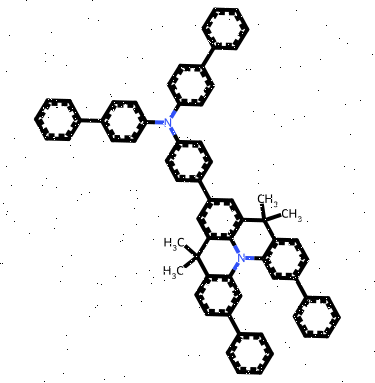 CC1(C)c2ccc(-c3ccccc3)cc2N2c3cc(-c4ccccc4)ccc3C(C)(C)c3cc(-c4ccc(N(c5ccc(-c6ccccc6)cc5)c5ccc(-c6ccccc6)cc5)cc4)cc1c32